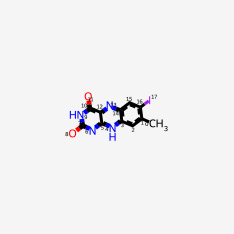 Cc1cc2[nH]c3nc(=O)[nH]c(=O)c-3nc2cc1I